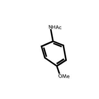 [CH2]Oc1ccc(NC(C)=O)cc1